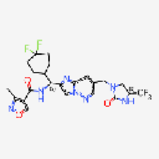 Cc1nocc1C(=O)N[C@H](c1cn2ncc(CN3C[C@@H](C(F)(F)F)NC3=O)cc2n1)C1CCC(F)(F)CC1